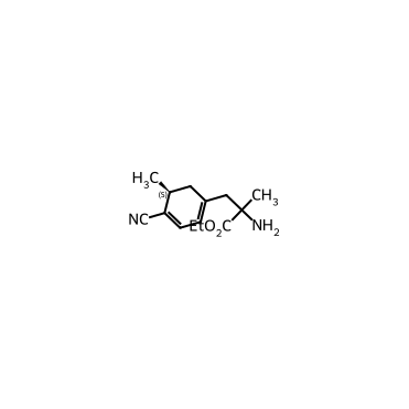 CCOC(=O)C(C)(N)CC1=CC=C(C#N)[C@@H](C)C1